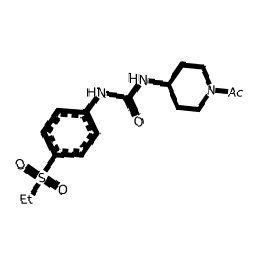 CCS(=O)(=O)c1ccc(NC(=O)NC2CCN(C(C)=O)CC2)cc1